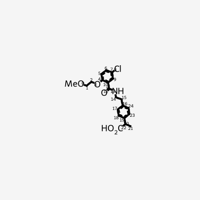 COCCOc1ccc(Cl)cc1C(=O)NCCc1ccc(C(C)C(=O)O)cc1